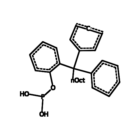 CCCCCCCCC(c1ccccc1)(c1ccccc1)c1ccccc1OP(O)O